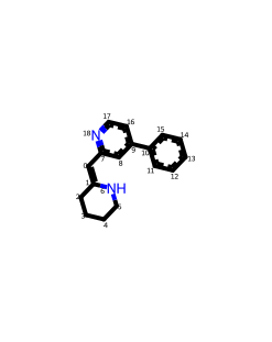 C(=C1CCCCN1)c1cc(-c2ccccc2)ccn1